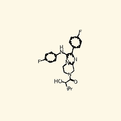 CC(C)C(O)C(=O)N1CCn2c(nc(-c3ccc(F)cc3)c2Nc2ccc(F)cc2)C1